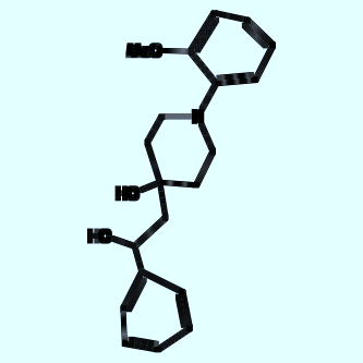 COc1ccccc1N1CCC(O)(CC(O)c2ccccc2)CC1